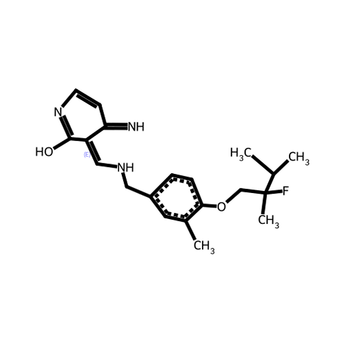 Cc1cc(CN/C=C2\C(=N)C=CN=C2O)ccc1OCC(C)(F)C(C)C